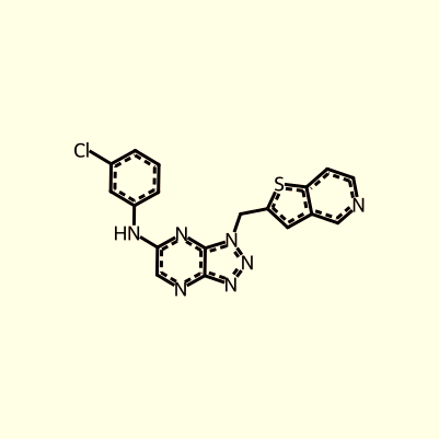 Clc1cccc(Nc2cnc3nnn(Cc4cc5cnccc5s4)c3n2)c1